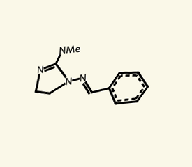 CNC1=NCCN1N=Cc1ccccc1